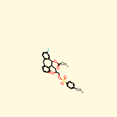 CC(=O)OC1c2cc(F)ccc2Cc2ccccc2C1CC(O)COS(=O)(=O)c1ccc(C)cc1